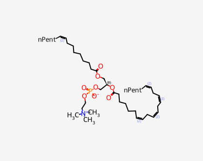 CCCCC/C=C\C/C=C\C/C=C\C/C=C\CCCCCC(=O)O[C@H](COC(=O)CCCCCCC/C=C\CCCCC)COP(=O)([O-])OCC[N+](C)(C)C